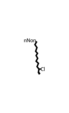 C=CC(Cl)CCCCCCCCCCCCCCCCCCC